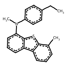 CCc1ccc(N(C)c2cccc3c2sc2c(C)cccc23)cc1